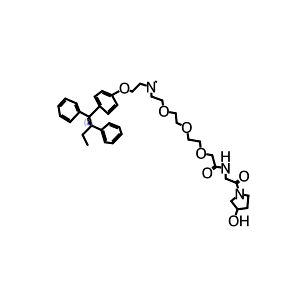 CC/C(=C(\c1ccccc1)c1ccc(OCCN(C)CCOCCOCCOCC(=O)NCC(=O)N2CCC(O)C2)cc1)c1ccccc1